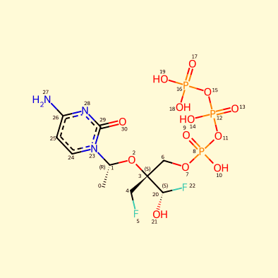 C[C@@H](O[C@](CF)(COP(=O)(O)OP(=O)(O)OP(=O)(O)O)[C@@H](O)F)n1ccc(N)nc1=O